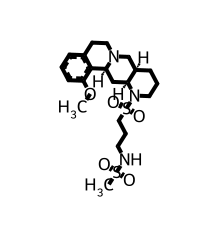 COc1cccc2c1[C@@H]1C[C@H]3[C@H](CCCN3S(=O)(=O)CCCNS(C)(=O)=O)CN1CC2